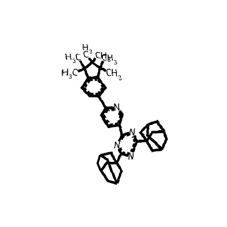 CC1(C)c2ccc(-c3ccc(-c4nc(C56CC7CC(CC(C7)C5)C6)nc(C56CC7CC(CC(C7)C5)C6)n4)cn3)cc2C(C)(C)C1(C)C